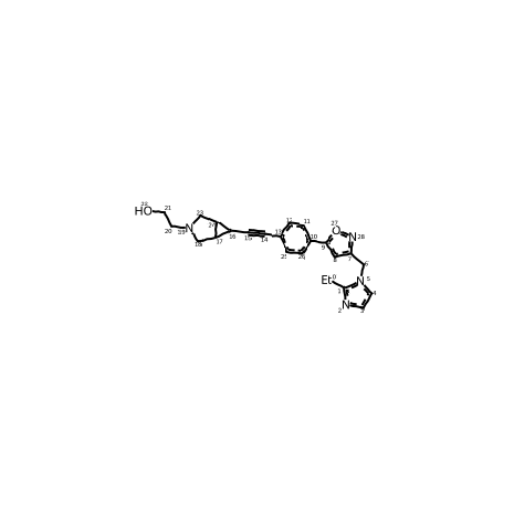 CCc1nccn1Cc1cc(-c2ccc(C#CC3C4CN(CCO)CC34)cc2)on1